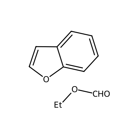 CCOC=O.c1ccc2occc2c1